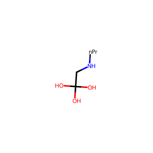 [CH2]CCNCC(O)(O)O